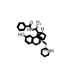 CC(NC(=O)c1ccccc1)C1[C@H]2CCC3(C2)C2Cc4ccc(O)cc4C13CCN2C[C@H]1CCCCN1